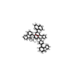 CC1(C)c2ccccc2-c2cccc(-c3ccc(N(c4ccc(-c5cccc6sc7ccccc7c56)cc4)c4ccccc4-c4cccc(-c5cccc6ccccc56)c4)cc3)c21